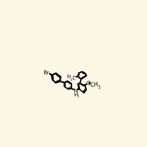 COc1ccc(Nc2ccc(-c3ccc(Br)cc3)cc2)cc1-c1ccccc1C